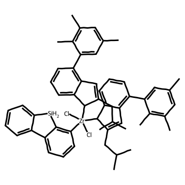 Cc1cc(C)c(C)c(-c2cccc3c2C=C(CC(C)C)[CH]3[Zr]([Cl])([Cl])([c]2cccc3c2[SiH2]c2ccccc2-3)[CH]2C(CC(C)C)=Cc3c(-c4cc(C)cc(C)c4C)cccc32)c1